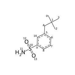 CC(C)(C)Cc1cccc(S(N)(=O)=O)c1